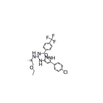 CCOC[C@H](C)N/C(=N/C(=O)c1ccc(C(F)(F)F)cc1)Nc1cc(-c2ccc(Cl)cc2)[nH]n1